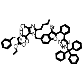 CCCCc1nc(Cl)c(C(=O)N[C@@H](Cc2ccccc2)C(=O)OCC)n1Cc1ccc2oc(-c3ccccc3-c3nnn(C(c4ccccc4)(c4ccccc4)c4ccccc4)n3)c(Br)c2c1